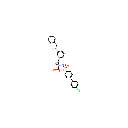 O=C(O)C1(NS(=O)(=O)c2ccc(-c3ccc(Cl)cc3)cc2)CC1c1cccc(NCc2ccccc2)c1